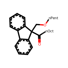 CCCCCCCCC(=O)C1(COCCCCC)c2ccccc2-c2ccccc21